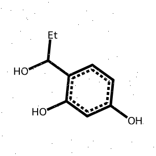 CCC(O)c1ccc(O)cc1O